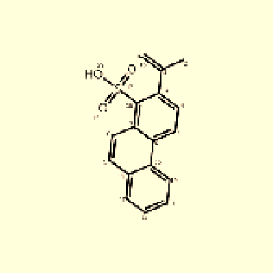 C=C(C)c1ccc2c(ccc3ccccc32)c1S(=O)(=O)O